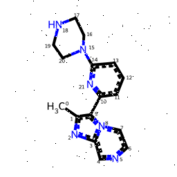 Cc1nc2cnccn2c1-c1cccc(N2CCNCC2)n1